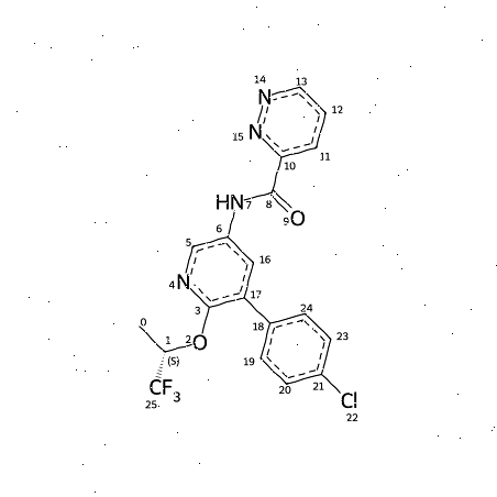 C[C@H](Oc1ncc(NC(=O)c2cccnn2)cc1-c1ccc(Cl)cc1)C(F)(F)F